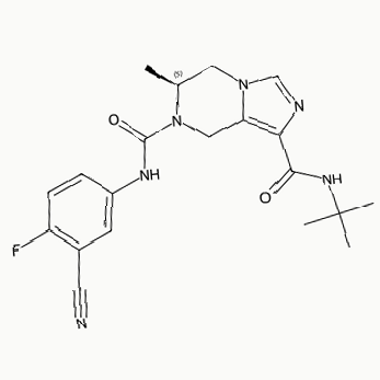 C[C@H]1Cn2cnc(C(=O)NC(C)(C)C)c2CN1C(=O)Nc1ccc(F)c(C#N)c1